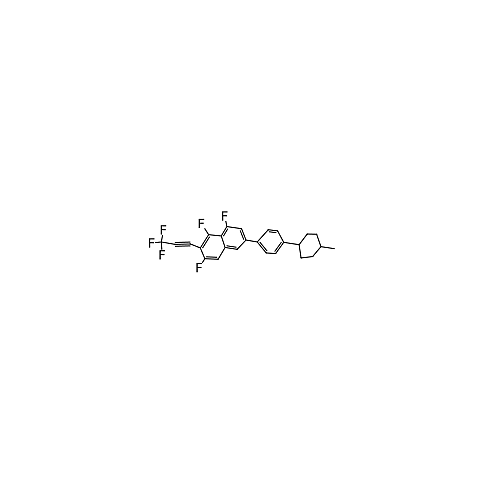 CC1CCC(c2ccc(-c3cc(F)c4c(F)c(C#CC(F)(F)F)c(F)cc4c3)cc2)CC1